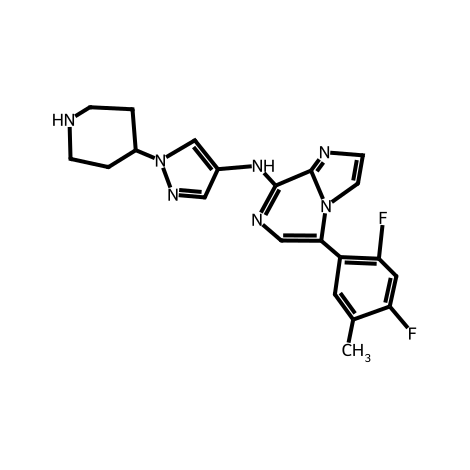 Cc1cc(-c2cnc(Nc3cnn(C4CCNCC4)c3)c3nccn23)c(F)cc1F